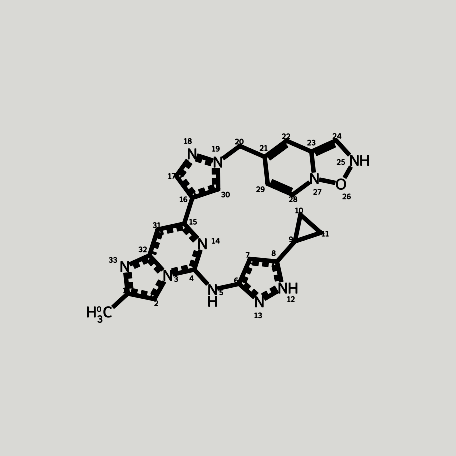 Cc1cn2c(Nc3cc(C4CC4)[nH]n3)nc(-c3cnn(CC4=CC5=CNON5C=C4)c3)cc2n1